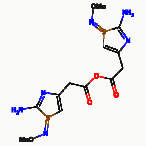 CO/N=S1/C=C(CC(=O)OC(=O)CC2=C/S(=N/OC)C(N)=N2)N=C1N